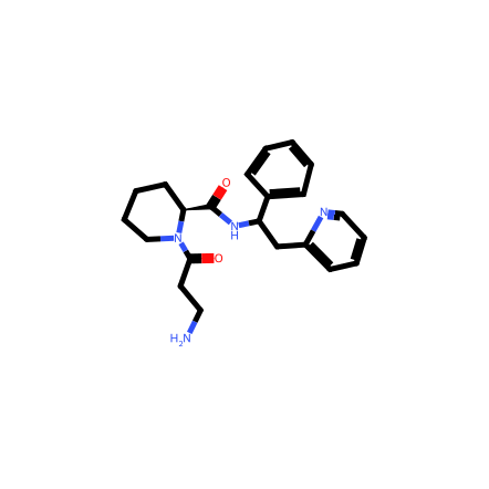 NCCC(=O)N1CCCC[C@H]1C(=O)NC(Cc1ccccn1)c1ccccc1